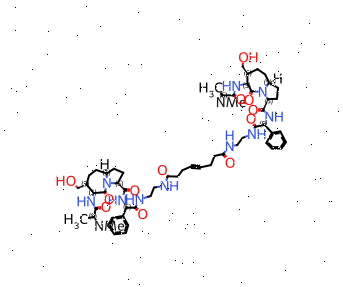 CN[C@@H](C)C(=O)N[C@@H]1C(=O)N2[C@@H](CC[C@@H]1CO)CC[C@H]2C(=O)N[C@H](C(=O)NCCNC(=O)CCC#CCCC(=O)NCCNC(=O)[C@@H](NC(=O)[C@@H]1CC[C@@H]2CC[C@H](CO)[C@H](NC(=O)[C@H](C)NC)C(=O)N21)c1ccccc1)c1ccccc1